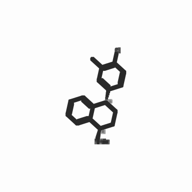 CC(=O)N[C@@H]1CC[C@@H](c2ccc(Cl)c(C)c2)c2ccccc21